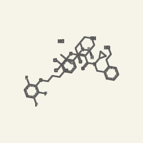 CC(C)(OC(=O)N1C2CNC[C@@H]1C(C(=O)N(Cc1ccccc1CCO)C1CC1)=C(c1ccc(CCCOc3c(F)ccc(F)c3F)cc1)C2)C(Cl)(Cl)Cl.Cl